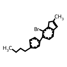 CCCCc1ccc(-c2ccc3c(c2Br)CC(C)=C3)cc1